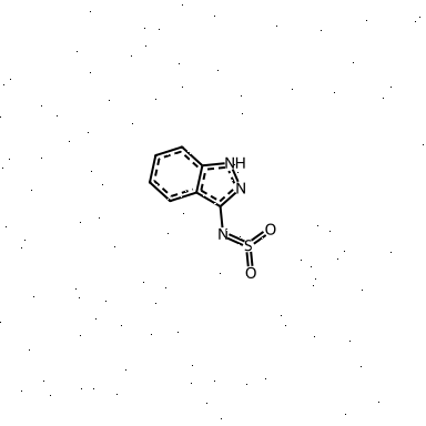 O=S(=O)=Nc1n[nH]c2ccccc12